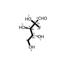 O=C[C@@](O)(F)[C@H](O)[C@H](O)CO